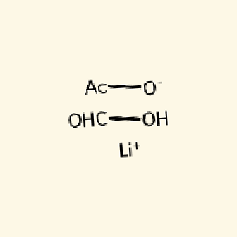 CC(=O)[O-].O=CO.[Li+]